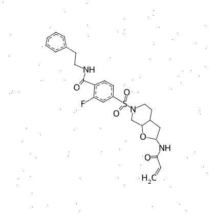 C=CC(=O)NC1CC2CCN(S(=O)(=O)c3ccc(C(=O)NCCc4ccccc4)c(F)c3)CC2O1